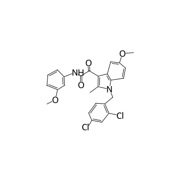 COc1cccc(NC(=O)C(=O)c2c(C)n(Cc3ccc(Cl)cc3Cl)c3ccc(OC)cc23)c1